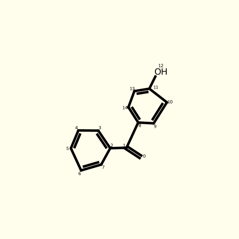 C=C(c1ccccc1)c1ccc(O)cc1